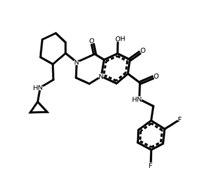 O=C(NCc1ccc(F)cc1F)c1cn2c(c(O)c1=O)C(=O)N(C1CCCCC1CNC1CC1)CC2